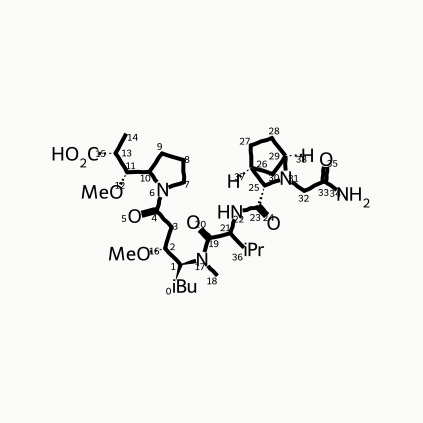 CC[C@H](C)[C@@H]([C@@H](CC(=O)N1CCCC1[C@H](OC)[C@@H](C)C(=O)O)OC)N(C)C(=O)C(NC(=O)[C@@H]1[C@H]2CC[C@H](C2)N1CC(N)=O)C(C)C